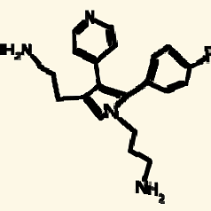 NCCCc1cn(CCCN)c(-c2ccc(F)cc2)c1-c1ccncc1